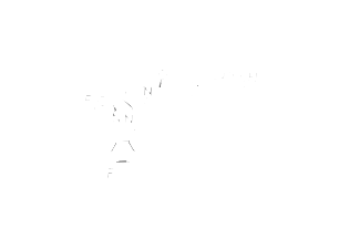 O=C(O)C1CC2(CC(CC(=O)N3CCc4c(C(F)(F)F)nn(Cc5ccc(F)cc5)c4C3)C2)C1